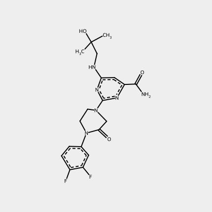 CC(C)(O)CNc1cc(C(N)=O)nc(N2CCN(c3ccc(F)c(F)c3)C(=O)C2)n1